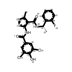 Cc1nsc(NC(=O)c2cc(Cl)c(O)c(Cl)c2)c1C(=O)N[C@@H](C)c1ccccc1F